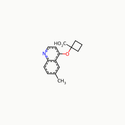 Cc1ccc2nccc(OC3(C(=O)O)CCC3)c2c1